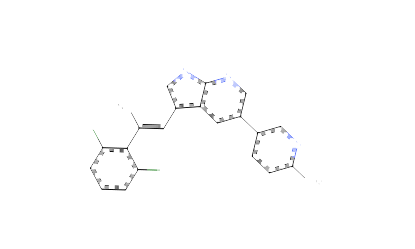 COc1ccc(-c2cnc3[nH]cc(/C=C(\C#N)c4c(Cl)cccc4Cl)c3c2)cn1